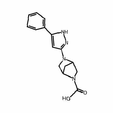 O=C(O)N1CC2CC1CN2c1cc(-c2ccccc2)[nH]n1